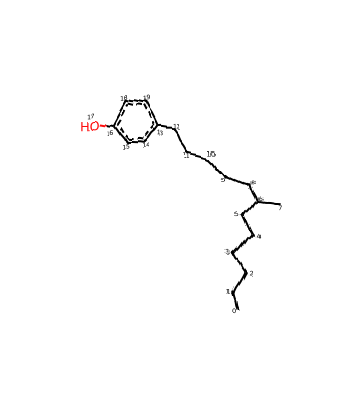 CCCCCCC(C)CCCCCc1ccc(O)cc1